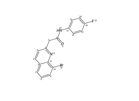 O=C(Cc1ccc2cccc(Br)c2n1)Nc1ccc(F)cc1